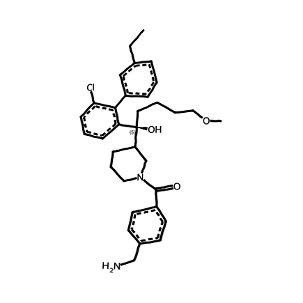 CCc1cccc(-c2c(Cl)cccc2[C@](O)(CCCCOC)C2CCCN(C(=O)c3ccc(CN)cc3)C2)c1